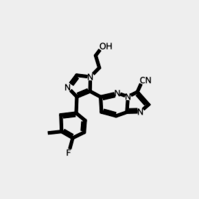 Cc1cc(-c2ncn(CCO)c2-c2ccc3ncc(C#N)n3n2)ccc1F